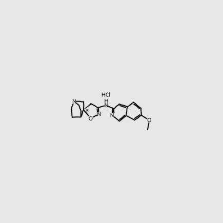 COc1ccc2cc(NC3=NO[C@@]4(C3)CN3CCC4CC3)ncc2c1.Cl